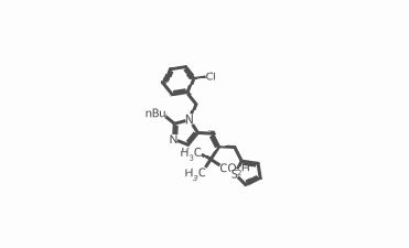 CCCCc1ncc(C=C(Cc2cccs2)C(C)(C)C(=O)O)n1Cc1ccccc1Cl